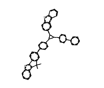 CC1(C)c2cc(-c3ccc(C4C(c5ccc(-c6ccccc6)cc5)C4c4ccc5sc6c(c5c4)C=C=C=C6)cc3)ccc2-c2sc3ccccc3c21